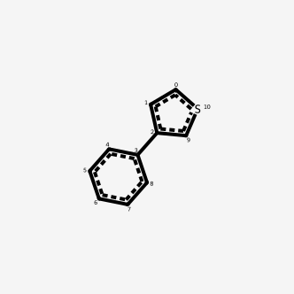 [c]1cc(-c2ccccc2)cs1